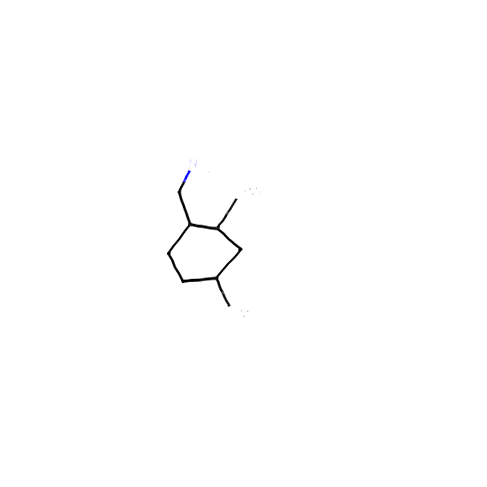 COC1CCC(CN)C(OC)C1